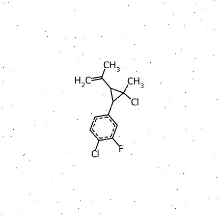 C=C(C)C1C(c2ccc(Cl)c(F)c2)C1(C)Cl